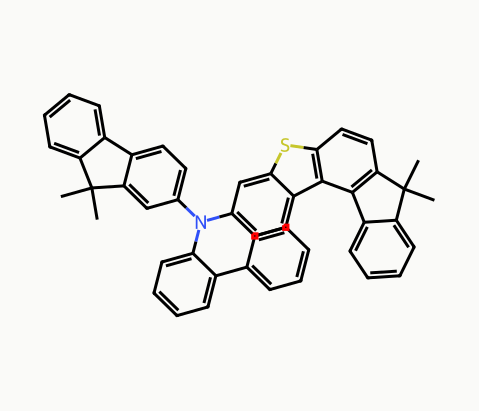 CC1(C)c2ccccc2-c2ccc(N(c3ccc4c(c3)sc3ccc5c(c34)-c3ccccc3C5(C)C)c3ccccc3-c3ccccc3)cc21